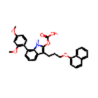 COc1ccc(-c2cccc3c(CCCOc4cccc5ccccc45)c(OC(=O)O)[nH]c23)c(OC)c1